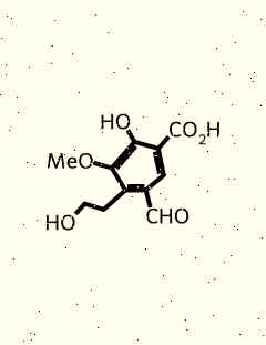 COc1c(O)c(C(=O)O)cc(C=O)c1CCO